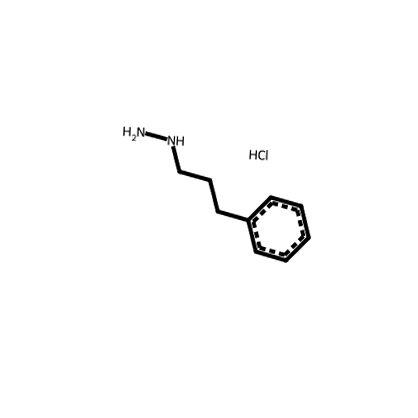 Cl.NNCCCc1ccccc1